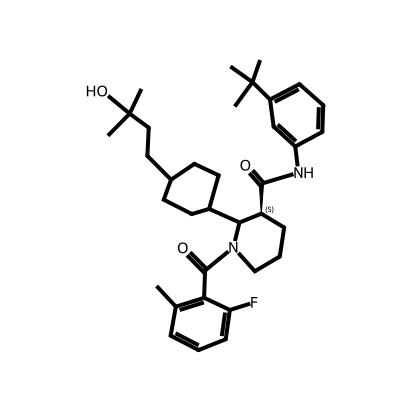 Cc1cccc(F)c1C(=O)N1CCC[C@H](C(=O)Nc2cccc(C(C)(C)C)c2)C1C1CCC(CCC(C)(C)O)CC1